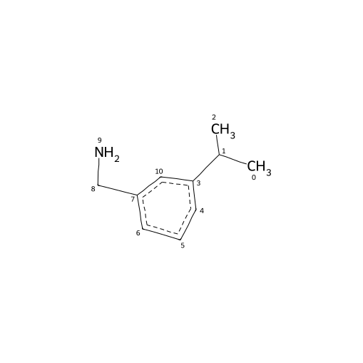 CC(C)c1cccc(CN)c1